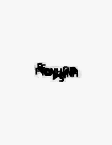 O=C(NC1CCCC1)c1csc(C2CC2NC2CCN(CC(F)(F)F)CC2)c1